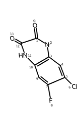 O=C1[N]c2cc(Cl)c(F)cc2NC1=O